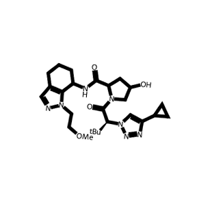 COCCn1ncc2c1C(NC(=O)C1CC(O)CN1C(=O)[C@@H](n1cc(C3CC3)nn1)C(C)(C)C)CCC2